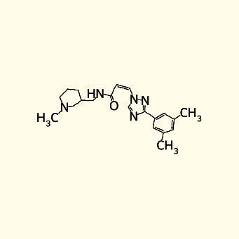 Cc1cc(C)cc(-c2ncn(/C=C\C(=O)NCC3CCCN(C)C3)n2)c1